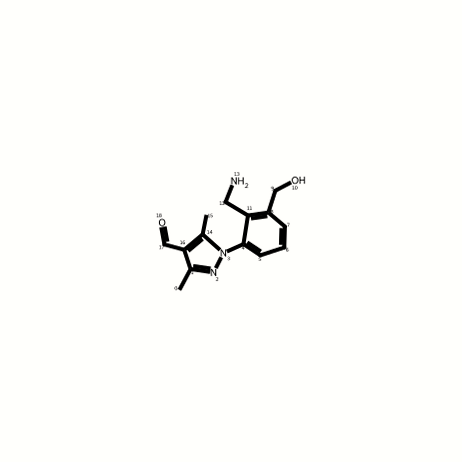 Cc1nn(-c2cccc(CO)c2CN)c(C)c1C=O